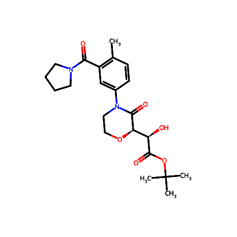 Cc1ccc(N2CCO[C@H]([C@@H](O)C(=O)OC(C)(C)C)C2=O)cc1C(=O)N1CCCC1